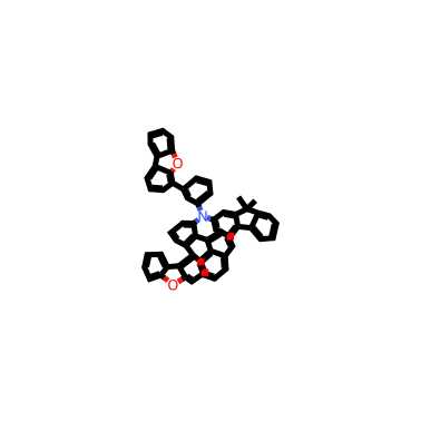 CC1(C)c2ccccc2-c2ccc(N(c3cccc(-c4cccc5c4oc4ccccc45)c3)c3cccc(-c4cccc5oc6ccccc6c45)c3-c3cccc4ccccc34)cc21